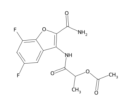 CC(=O)OC(C)C(=O)Nc1c(C(N)=O)oc2c(F)cc(F)cc12